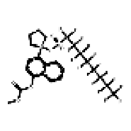 COC(=O)Oc1ccc(S2(OS(=O)(=O)C(F)(F)C(F)(F)C(F)(F)C(F)(F)C(F)(F)C(F)(F)C(F)(F)C(F)(F)F)CCCC2)c2ccccc12